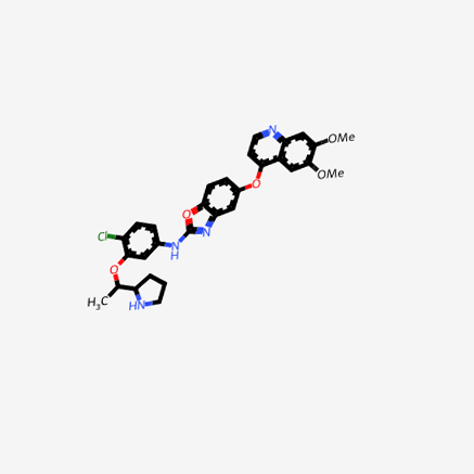 COc1cc2nccc(Oc3ccc4oc(Nc5ccc(Cl)c(OC(C)C6CCCN6)c5)nc4c3)c2cc1OC